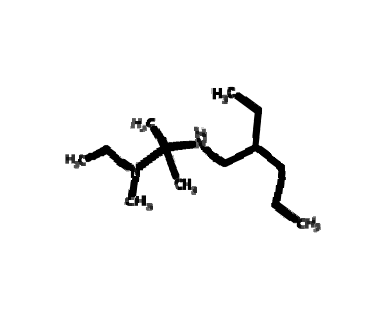 CCCC(CC)CNC(C)(C)N(C)CC